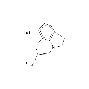 Cl.O=C(O)C1=CN2CCc3cccc(c32)C1